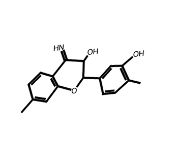 Cc1ccc2c(c1)OC(c1ccc(C)c(O)c1)C(O)C2=N